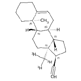 [2H]C([2H])([2H])[C@]12CC[C@H]3[C@@H](CC=C4CCCC[C@@]43C)[C@@H]1CC[C@H]2C#C